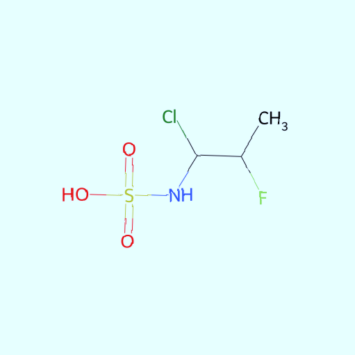 CC(F)C(Cl)NS(=O)(=O)O